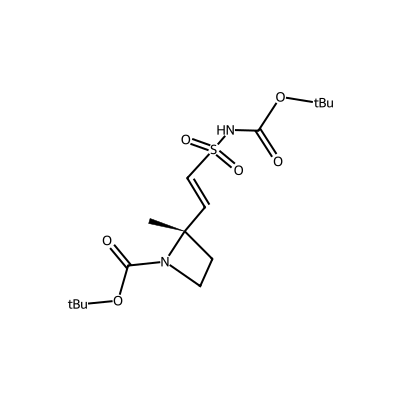 CC(C)(C)OC(=O)NS(=O)(=O)/C=C/[C@]1(C)CCN1C(=O)OC(C)(C)C